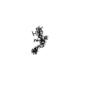 CC(C)[C@@H](C)OC(=O)Nc1ccc(-c2c(C#N)c3cc(OCCCn4cncn4)ccc3n2C2CCC2)cc1